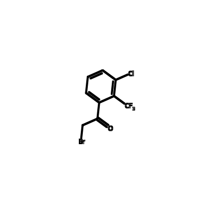 O=C(CBr)c1cccc(Cl)c1C(F)(F)F